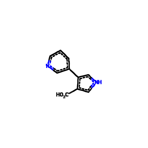 O=C(O)c1c[nH]cc1-c1cccnc1